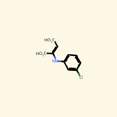 O=C(O)C=C(Nc1cccc(Cl)c1)C(=O)O